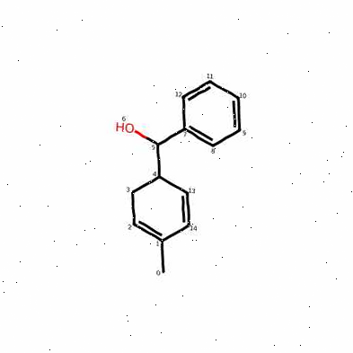 CC1=CCC(C(O)c2ccccc2)C=C1